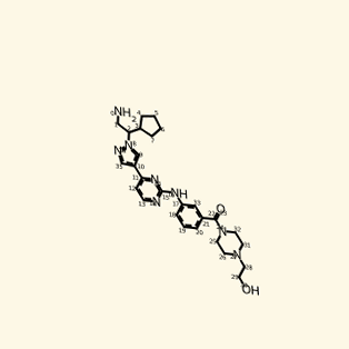 NCC(C1CCCC1)n1cc(-c2ccnc(Nc3cccc(C(=O)N4CCN(CCO)CC4)c3)n2)cn1